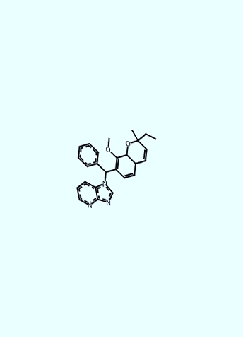 CCC1(C)C=CC2C=CC(C(c3ccccc3)n3cnc4ncccc43)=C(OC)C2O1